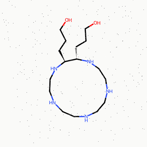 OCCC[C@@H]1NCCNCCNCCNCCN[C@H]1CCCO